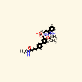 CNC(=O)CCCc1ccc(-c2ccc(OC(C)C)c(C(=O)N[C@@H](CO)Cc3c[nH]c4ccccc34)c2)cc1